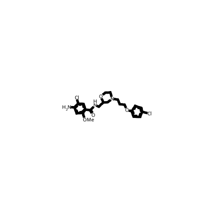 COc1cc(N)c(Cl)cc1C(=O)NCC1CN(CCCOc2ccc(Cl)cc2)CCO1